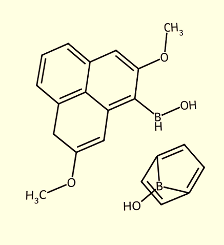 COC1=Cc2c(BO)c(OC)cc3cccc(c23)C1.OB1C2=CC=C1C=C2